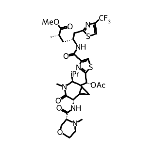 COC(=O)[C@@H](C)C[C@H](Cc1nc(C(F)(F)F)cs1)NC(=O)c1csc([C@@H](C[C@H](C(C)C)N(C)C(=O)[C@@H](NC(=O)[C@H]2COCCN2C)C2CC2)OC(C)=O)n1